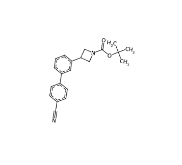 CC(C)(C)OC(=O)N1CC(c2cccc(-c3ccc(C#N)cc3)c2)C1